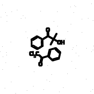 CC(C)(O)C(=O)c1ccccc1.O=C(c1ccccc1)C(Cl)(Cl)Cl